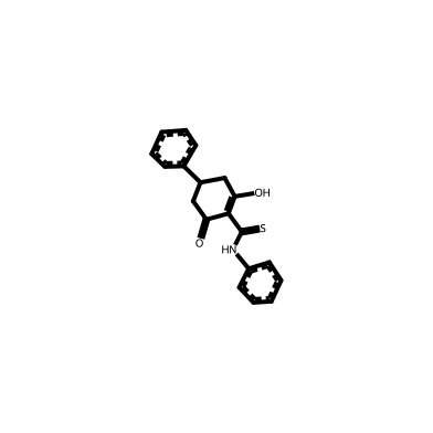 O=C1CC(c2ccccc2)CC(O)=C1C(=S)Nc1ccccc1